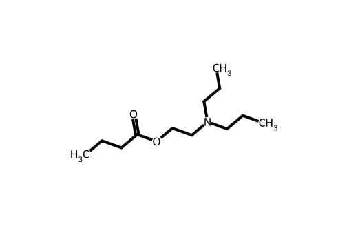 CCCC(=O)OCCN(CCC)CCC